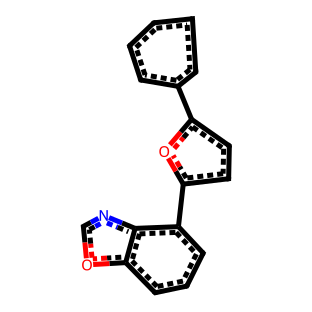 c1ccc(-c2ccc(-c3cccc4ocnc34)o2)cc1